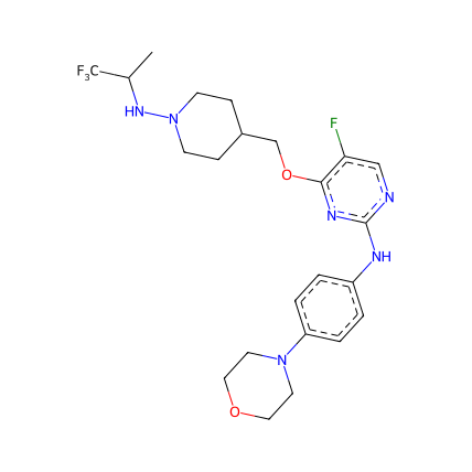 CC(NN1CCC(COc2nc(Nc3ccc(N4CCOCC4)cc3)ncc2F)CC1)C(F)(F)F